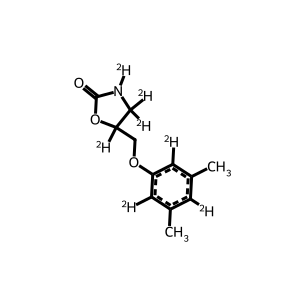 [2H]c1c(C)c([2H])c(OCC2([2H])OC(=O)N([2H])C2([2H])[2H])c([2H])c1C